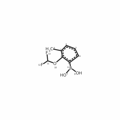 Cc1cccc(B(O)O)c1OC(F)F